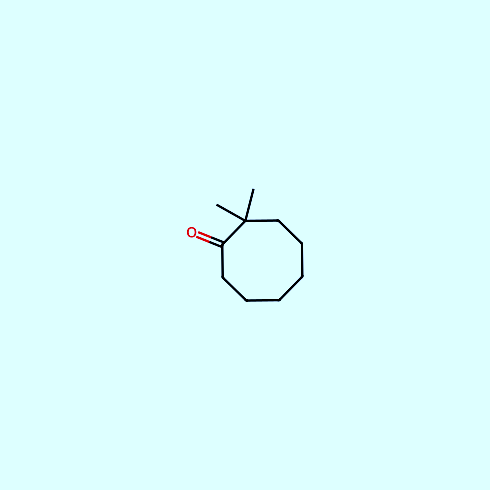 CC1(C)CCCCCCC1=O